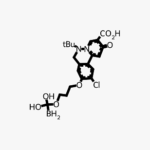 BC(O)(O)OCCCOc1cc2c(cc1Cl)-c1cc(=O)c(C(=O)O)cn1N(C(C)(C)C)C2